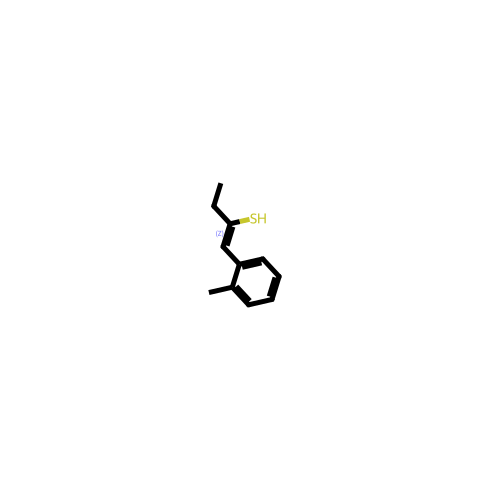 CC/C(S)=C/c1ccccc1C